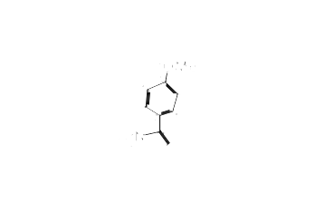 C=C(c1ccc(OC)cc1)[N+](=O)[O-]